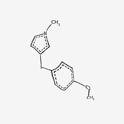 COc1ccc(Sc2ccn(C)c2)cc1